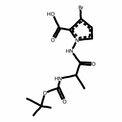 CC(NC(=O)OC(C)(C)C)C(=O)Nn1ccc(Br)c1C(=O)O